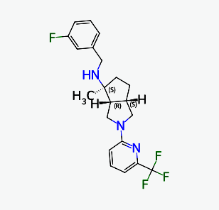 C[C@]1(NCc2cccc(F)c2)CC[C@@H]2CN(c3cccc(C(F)(F)F)n3)C[C@@H]21